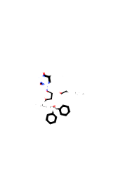 COCCO[C@H]1C(n2cc(C)c(=O)[nH]c2=O)OC(C=O)[C@H]1O[Si](c1ccccc1)(c1ccccc1)C(C)(C)C